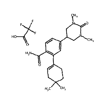 CN1CC(c2ccc(C(N)=O)c(C3=CCC(C)(C)CC3)c2)CN(C)C1=O.O=C(O)C(F)(F)F